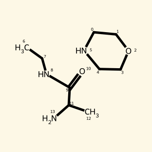 C1COCCN1.CCNC(=O)C(C)N